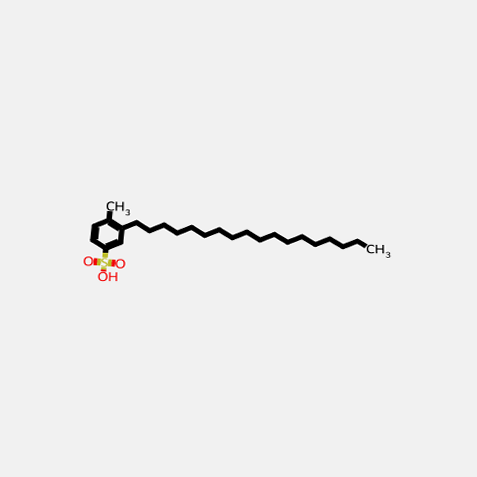 CCCCCCCCCCCCCCCCCCc1cc(S(=O)(=O)O)ccc1C